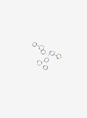 c1ccc(-c2ccc(N(c3ccc4c(ccc5c6ccccc6oc45)c3)c3ccc4oc5ccccc5c4c3)cc2-c2ccccc2)cc1